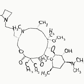 CO[C@]1(C)C[C@@H](C)CN(C)[C@@H](CCCN2CCC2)COC(=O)C(C)(C)C(=O)[C@H](C)[C@H]1O[C@@H]1O[C@H](C)C[C@H](N(C)C)[C@H]1O